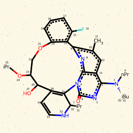 CCCN(c1nc(=O)n2c3nc(c(C)cc13)-c1c(F)cccc1OCC(OC(C)C)C(O)C1=C2C(C(C)C)NC=C1)[C@@H](C)CC